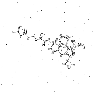 C=C(C)CNCCOC(=O)NCc1ccc(Cn2c(C3COC3)nc3c(N)nc4ccccc4c32)cc1